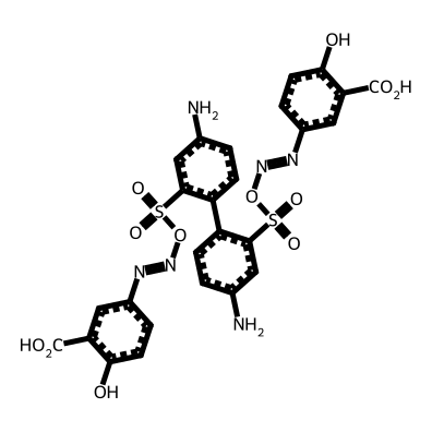 Nc1ccc(-c2ccc(N)cc2S(=O)(=O)ON=Nc2ccc(O)c(C(=O)O)c2)c(S(=O)(=O)ON=Nc2ccc(O)c(C(=O)O)c2)c1